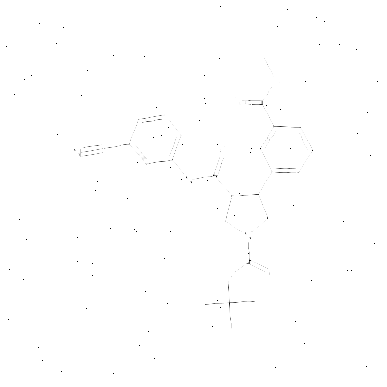 COC(=O)c1cccc(C2CN(C(=O)OC(C)(C)C)CC2C(=O)Nc2cccc(C#N)c2)c1